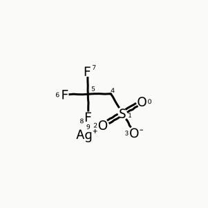 O=S(=O)([O-])CC(F)(F)F.[Ag+]